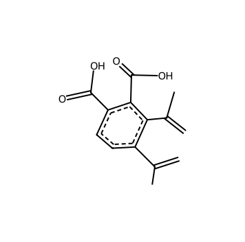 C=C(C)c1ccc(C(=O)O)c(C(=O)O)c1C(=C)C